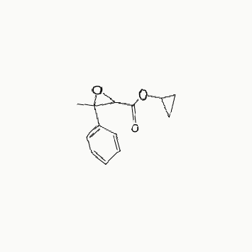 CC1(c2ccccc2)OC1C(=O)OC1CC1